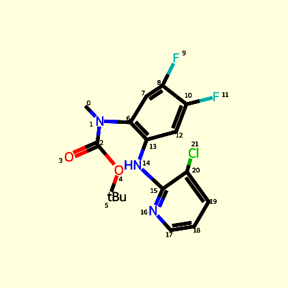 CN(C(=O)OC(C)(C)C)c1cc(F)c(F)cc1Nc1ncccc1Cl